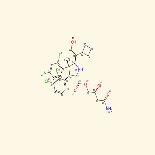 N#C[C@@]1(c2ccc(Cl)cc2F)[C@@H](C(CO)C2CCC2)N[C@H](C(=O)OC[C@@H](O)CC(N)=O)[C@H]1c1cccc(Cl)c1F